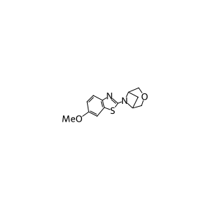 COc1ccc2nc(N3C4COCC3C4)sc2c1